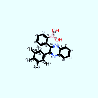 [2H]c1c([2H])c([2H])c(-c2nc3ccccc3nc2-c2ccccc2B(O)O)c([2H])c1[2H]